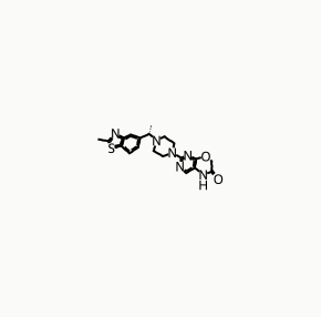 Cc1nc2cc([C@H](C)N3CCN(c4ncc5c(n4)OCC(=O)N5)CC3)ccc2s1